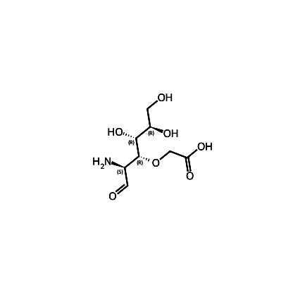 N[C@H](C=O)[C@@H](OCC(=O)O)[C@H](O)[C@H](O)CO